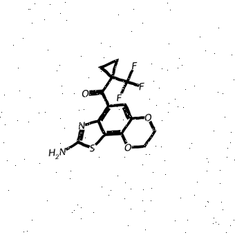 Nc1nc2c(C(=O)C3(C(F)(F)F)CC3)cc3c(c2s1)OCCO3